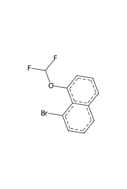 FC(F)Oc1cccc2cccc(Br)c12